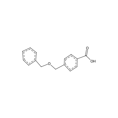 O=C(O)c1ccc(COCc2ccccc2)cc1